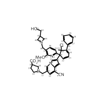 COc1nc(C2(c3cc4c(C#N)cc(CN5CCC(C(=O)O)C5)cn4c3)C=CC=C(c3ccccc3)C2(C)Cl)ccc1CN1CC(CO)C1